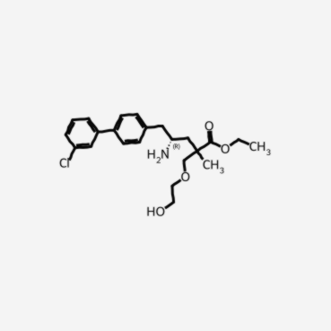 CCOC(=O)C(C)(COCCO)C[C@H](N)Cc1ccc(-c2cccc(Cl)c2)cc1